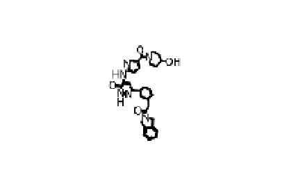 O=C(Cc1cccc(-c2cc(Nc3ccc(C(=O)N4CCC(O)CC4)cn3)c(=O)[nH]n2)c1)N1Cc2ccccc2C1